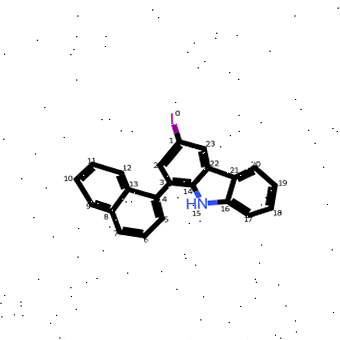 Ic1cc(-c2cccc3ccccc23)c2[nH]c3ccccc3c2c1